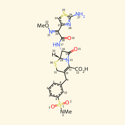 CNS(=O)(=O)c1cccc(CC2=C(C(=O)O)N3C(=O)[C@@H](NC(=O)C(=NOC)c4csc(N)n4)[C@H]3SC2)c1